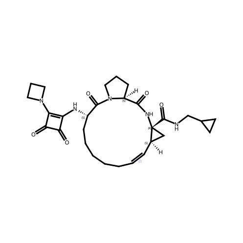 O=C1N[C@]2(C(=O)NCC3CC3)C[C@H]2/C=C\CCCCC[C@H](Nc2c(N3CCC3)c(=O)c2=O)C(=O)N2CCC[C@@H]12